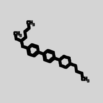 CCCCC1CCC(c2ccc(-c3ccc(CC(CC)CCCC)cc3)cc2)CC1